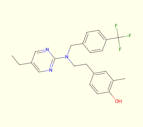 CCc1cnc(N(CCc2ccc(O)c(C)c2)Cc2ccc(C(F)(F)F)cc2)nc1